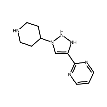 C1=C(c2ncccn2)NNN1C1CCNCC1